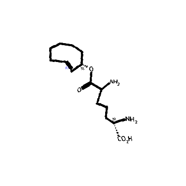 NC(CCC[C@H](N)C(=O)O)C(=O)O[C@@H]1/C=C/CCCCC1